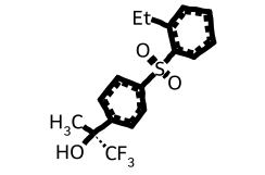 CCc1ccccc1S(=O)(=O)c1ccc([C@](C)(O)C(F)(F)F)cc1